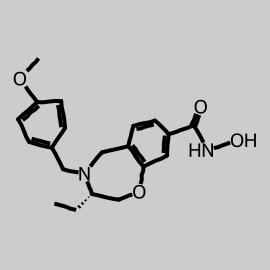 CC[C@H]1COc2cc(C(=O)NO)ccc2CN1Cc1ccc(OC)cc1